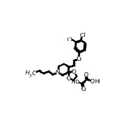 CCCCCN1CCC(CCOc2ccc(Cl)c(Cl)c2)C2(C1)OCCO2.O=C(O)C(=O)O